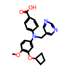 COc1ccc(N(Cc2cncnc2)c2ccc(C(=O)O)cc2)cc1OC1CCC1